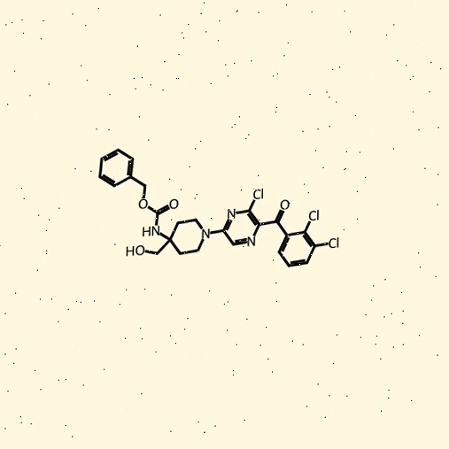 O=C(NC1(CO)CCN(c2cnc(C(=O)c3cccc(Cl)c3Cl)c(Cl)n2)CC1)OCc1ccccc1